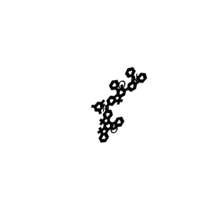 Cc1cc(C)c(N(c2ccc3c(c2)C(C)(C)c2cc(-c4ccc5c6ccccc6n(-c6ccccc6)c5c4)c4oc5ccccc5c4c2-3)c2ccc3c(c2)C(C)(C)c2c4c(c5oc6ccccc6c5c2-3)-c2ccccc2C4(C)C)c(C)c1